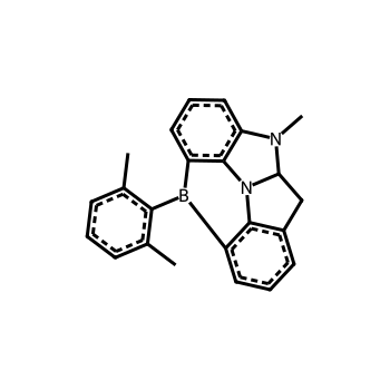 Cc1cccc(C)c1B1c2cccc3c2N2c4c1cccc4N(C)C2C3